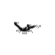 Cc1cc(Nc2nc(Nc3ccccc3)nc(Nc3ccc(N=Nc4ccc(N=Nc5ccc(SOOO)cc5)cc4S(=O)(=O)O)c(C)c3)n2)ccc1N=Nc1ccc(N=Nc2ccc(S(=O)(=O)O)cc2)cc1SOOO